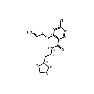 C=CCOc1cc(Cl)ccc1C(=O)NCCN1CCCC1